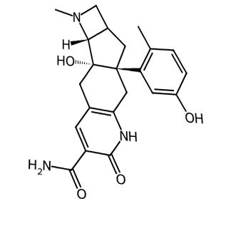 Cc1ccc(O)cc1[C@@]12Cc3[nH]c(=O)c(C(N)=O)cc3C[C@@]1(O)[C@H]1C(CN1C)C2